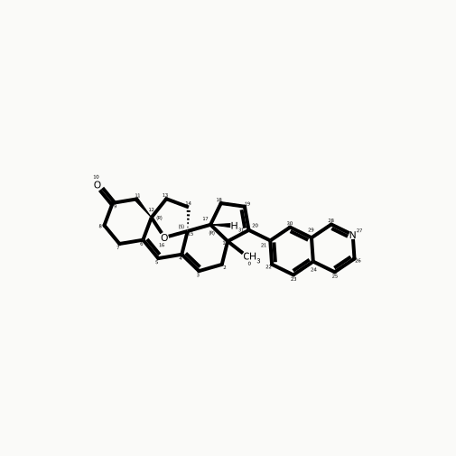 CC12CC=C3C=C4CCC(=O)C[C@]45CC[C@]3(O5)[C@@H]1CC=C2c1ccc2ccncc2c1